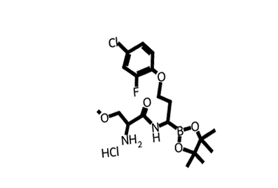 COCC(N)C(=O)NC(CCOc1ccc(Cl)cc1F)B1OC(C)(C)C(C)(C)O1.Cl